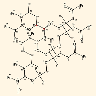 CC(C)C(=O)SCC(C)(C)OCC(C)(C)OP(N(C(C)C)C(C)C)N(C(C)C)C(C)CCC(C)N(C(C)C)P(OCC(C)(C)OCC(C)(C)SC(=O)C(C)C)N(C(C)C)C(C)CCC(C)N(C(C)C)P(OCCOCC(C)(C)SC(=O)C(C)C)N(C(C)C)C(C)C